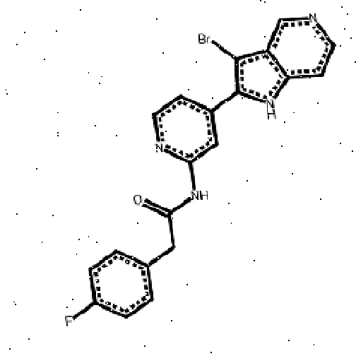 O=C(Cc1ccc(F)cc1)Nc1cc(-c2[nH]c3ccncc3c2Br)ccn1